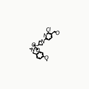 COc1ccc(CN(C)S(=O)(=O)C2CN(c3ccc(C=O)c(Cl)n3)C2)cc1